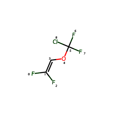 FC(F)=COC(F)(F)Cl